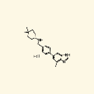 Cc1cc(-c2ccc(CNC3CCC(C)(C)CC3)cc2)cc2[nH]cnc12.Cl